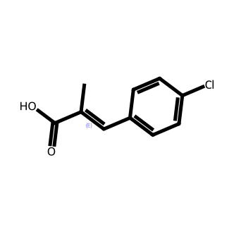 C/C(=C\c1ccc(Cl)cc1)C(=O)O